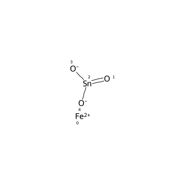 [Fe+2].[O]=[Sn]([O-])[O-]